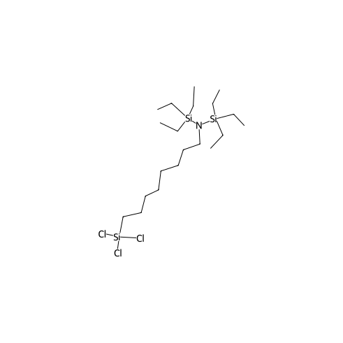 CC[Si](CC)(CC)N(CCCCCCCC[Si](Cl)(Cl)Cl)[Si](CC)(CC)CC